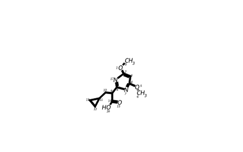 COc1cc(OC)nc(C(CC2CC2)C(=O)O)n1